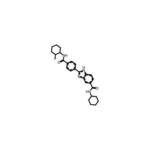 CC1CCCCC1NC(=O)c1ccc(-c2nc3cc(C(=O)NC4CCCCC4)ccc3[nH]2)cc1